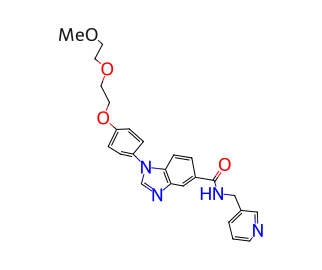 COCCOCCOc1ccc(-n2cnc3cc(C(=O)NCc4cccnc4)ccc32)cc1